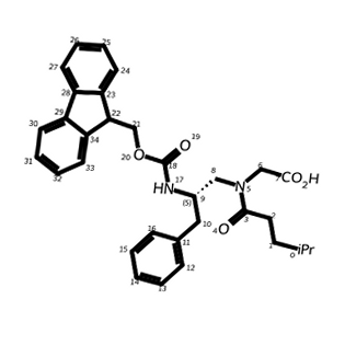 CC(C)CCC(=O)N(CC(=O)O)C[C@H](Cc1ccccc1)NC(=O)OCC1c2ccccc2-c2ccccc21